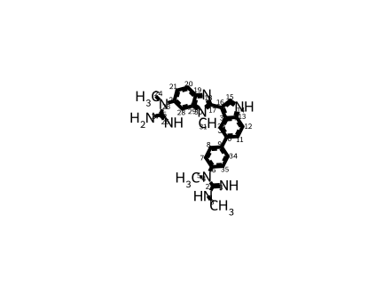 CNC(=N)N(C)c1ccc(-c2ccc3[nH]cc(-c4nc5ccc(N(C)C(=N)N)cc5n4C)c3c2)cc1